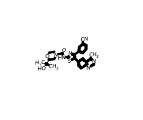 Cc1ncnc2ccc(-c3sc(NC(=O)N4CCO[C@H](C(C)(C)O)C4)nc3-c3cccc(C#N)c3)cc12